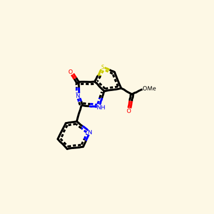 COC(=O)c1csc2c(=O)nc(-c3ccccn3)[nH]c12